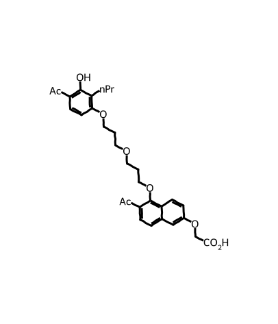 CCCc1c(OCCCOCCCOc2c(C(C)=O)ccc3cc(OCC(=O)O)ccc23)ccc(C(C)=O)c1O